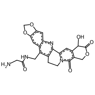 NCC(=O)NCc1c2c(nc3cc4c(cc13)OCO4)-c1cc3c(c(=O)n1CC2)COC(=O)C3O